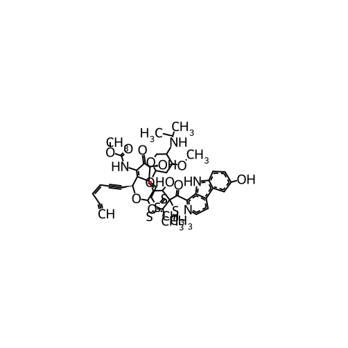 C#C/C=C\C#C[C@H](OC1OC(C)C(SC)(C(=O)c2nccc3c2[nH]c2ccc(O)cc23)C(O)C1OC1CC(OC)C(NC(C)C)CO1)C1=C(NC(=O)OC)C(=O)[C@@H](O)/C1=C/CS(C)(=S)=S